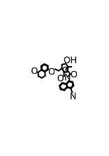 CC12OC(CCOc3cccc4c3CCCC4=O)(CC1O)C1C(=O)N(c3ccc(C#N)c4ccccc34)C(=O)C12